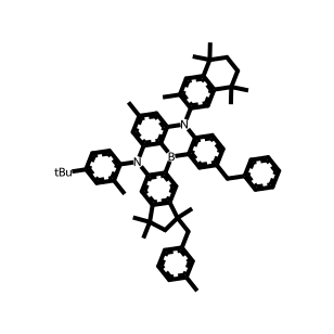 Cc1cccc(CC2(C)CC(C)(C)c3cc4c(cc32)B2c3cc(Cc5ccccc5)ccc3N(c3cc5c(cc3C)C(C)(C)CCC5(C)C)c3cc(C)cc(c32)N4c2ccc(C(C)(C)C)cc2C)c1